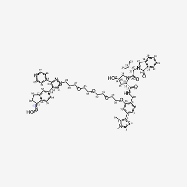 Cc1ncsc1-c1ccc(CNC(=O)[C@@H]2C[C@@H](O)CN2C(=O)[C@H](C(C)C)N2Cc3ccccc3C2=O)c(OCCOCCOCCOCCCn2cc(-c3ccc4c(c3)CC/C4=N\O)c(-c3ccncc3)n2)c1